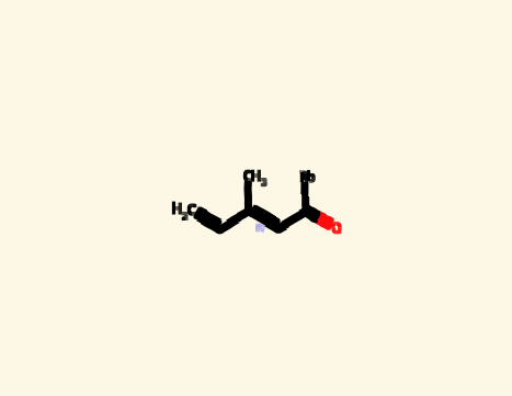 C=C/C(C)=C/[C](=O)[Rb]